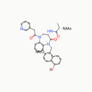 CN[C@@H](C)C(=O)N[C@H]1CN(C(=O)Cc2cccnc2)c2ccccc2N(Cc2c(OC)ccc3c(Br)cccc23)C1=O